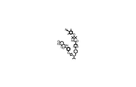 Cc1cc(O[C@H]2C(C)(C)[C@H](NC(=O)c3cnc(N4CCC(CN(C(C)C)[C@H]5C[C@H](Oc6cccc(C(=O)NC7CCC(=O)NC7=O)c6)C5)CC4)nc3)C2(C)C)cc(C)c1C#N